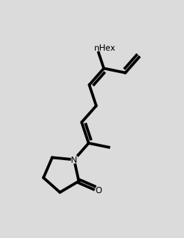 C=CC(=CC/C=C(\C)N1CCCC1=O)CCCCCC